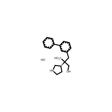 Cl.O=C(O)C(CO)(Cc1cccc(-c2ccccc2)c1)[C@H]1CCNC1